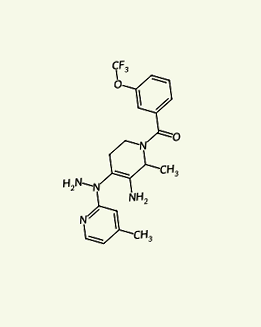 Cc1ccnc(N(N)C2=C(N)C(C)N(C(=O)c3cccc(OC(F)(F)F)c3)CC2)c1